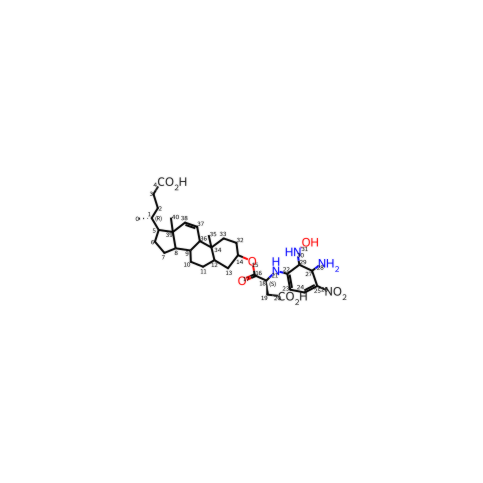 C[C@H](CCC(=O)O)C1CCC2C3CCC4CC(OC(=O)[C@H](CC(=O)O)NC5=CC=C([N+](=O)[O-])C(N)C5NO)CCC4(C)C3C=CC21C